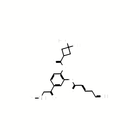 C=CCC=CC(=O)Oc1cc(C(=O)CNC(C)C)ccc1OC(=O)C1CC(C)(C)C1